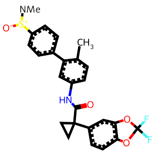 CN[S+]([O-])c1ccc(-c2cc(NC(=O)C3(c4ccc5c(c4)OC(F)(F)O5)CC3)ccc2C)cc1